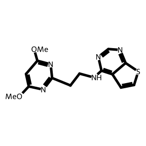 COc1cc(OC)nc(CCNc2ncnc3sccc23)n1